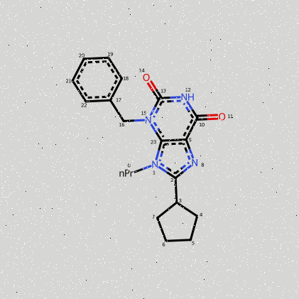 CCCn1c(C2CCCC2)nc2c(=O)[nH]c(=O)n(Cc3ccccc3)c21